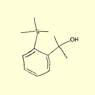 CC(C)(O)c1ccccc1[Si](C)(C)C